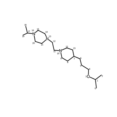 CC(C)OCCCC1CCN(CCN2CCN(C(C)C)CC2)CC1